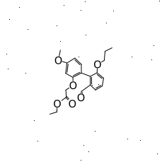 CCCOc1cccc(C=O)c1-c1ccc(OC)cc1OCC(=O)OCC